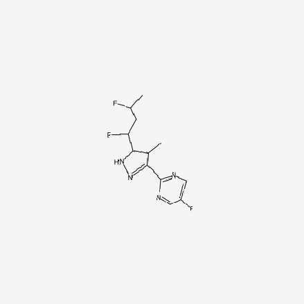 CC(F)CC(F)C1NN=C(c2ncc(F)cn2)C1C